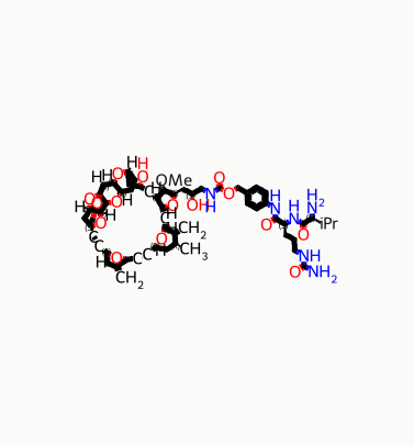 C=C1C[C@@H]2CC[C@@]34C[C@H]5OC6C(O[C@H]7CC[C@H](CC(O)C[C@@H]8[C@@H](OC)[C@@H](C[C@H](O)CNC(=O)OCc9ccc(NC(=O)[C@H](CCCNC(N)=O)NC(=O)[C@@H](N)C(C)C)cc9)O[C@H]8C[C@H]8O[C@@H](CCC1O2)C[C@@H](C)C8=C)O[C@@H]7[C@@H]6O3)[C@H]5O4